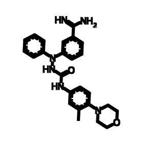 Cc1cc(NC(=O)NN(c2ccccc2)c2cccc(C(=N)N)c2)ccc1N1CCOCC1